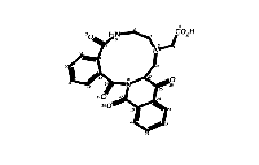 O=C(O)CN1CCNC(=O)c2ccccc2C(=O)N2C(=O)c3ccccc3C(=O)C2C1